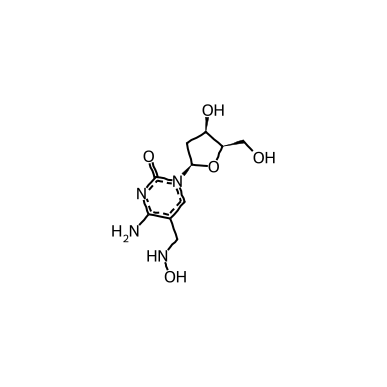 Nc1nc(=O)n([C@H]2C[C@@H](O)[C@@H](CO)O2)cc1CNO